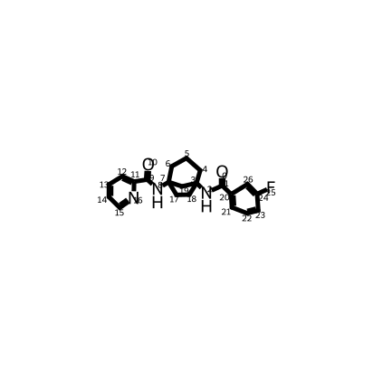 O=C(NC12CCCC(NC(=O)c3ccccn3)(CC1)C2)c1cccc(F)c1